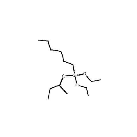 CCCCCC[Si](OCC)(OCC)OC(C)CC